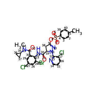 Cc1ccc(S(=O)(=O)OC2=NN(c3ncccc3Cl)C(C(=O)Nc3c(Br)cc(Cl)cc3C(=O)N(C)C3CC3)C2)cc1